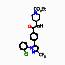 CCOC(=O)N1CCC([AsH]C(=O)c2ccc(-c3cc(C(F)(F)F)nn3-c3ccccc3Cl)cc2)CC1